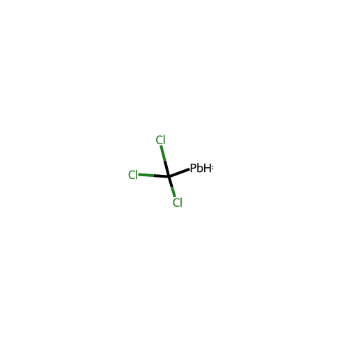 Cl[C](Cl)(Cl)[PbH]